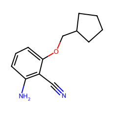 N#Cc1c(N)cccc1OCC1CCCC1